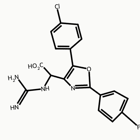 N=C(N)NC(C(=O)O)c1nc(-c2ccc(F)cc2)oc1-c1ccc(Cl)cc1